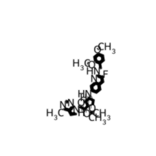 COc1ccc(CNc2nc3cc(N[C@H]4CC[C@]56OC(C)(C)O[C@H]5[C@H](n5ccc7c(C)ncnc75)O[C@H]46)ccc3cc2F)c(OC)c1